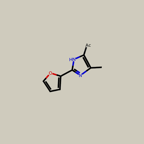 CC(=O)c1[nH]c(-c2ccco2)nc1C